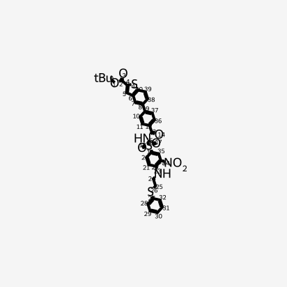 CC(C)(C)OC(=O)c1cc2cc(-c3ccc(C(=O)NS(=O)(=O)c4ccc(NCCSc5ccccc5)c([N+](=O)[O-])c4)cc3)ccc2s1